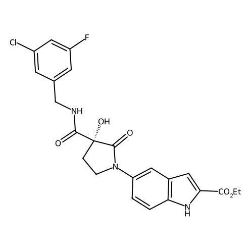 CCOC(=O)c1cc2cc(N3CC[C@@](O)(C(=O)NCc4cc(F)cc(Cl)c4)C3=O)ccc2[nH]1